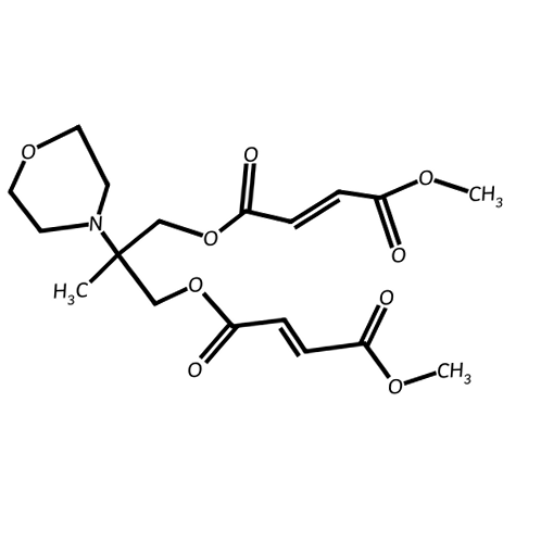 COC(=O)/C=C/C(=O)OCC(C)(COC(=O)/C=C/C(=O)OC)N1CCOCC1